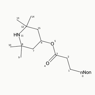 CCCCCCCCCCCC(=O)OC1CC(C)(C)NC(C)(C)C1